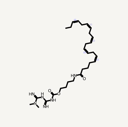 CC/C=C\C/C=C\C/C=C\C/C=C\C/C=C\CCCC(=O)NCCCCOC(=O)NC(=N)NC(=N)N(C)C